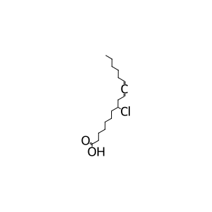 CCCCCC=C=CCC(Cl)CCCCCCC(=O)O